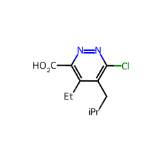 CCc1c(C(=O)O)nnc(Cl)c1CC(C)C